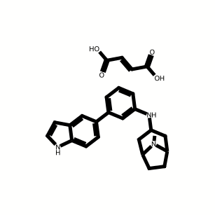 CN1C2CCC1CC(Nc1cccc(-c3ccc4[nH]ccc4c3)c1)C2.O=C(O)/C=C/C(=O)O